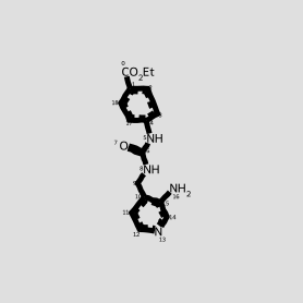 CCOC(=O)c1ccc(NC(=O)NCc2ccncc2N)cc1